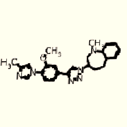 COc1cc(-c2cn(C3CCC4C=CC=CC4N(C)C3)nn2)ccc1-n1cnc(C)c1